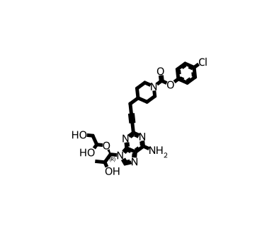 CC(O)[C@@H](OC(O)CO)n1cnc2c(N)nc(C#CCC3CCN(C(=O)Oc4ccc(Cl)cc4)CC3)nc21